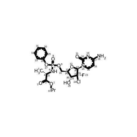 CC(C)OC(=O)[C@H](C)NP(=O)(OC[C@H]1O[C@@H](n2ccc(N)nc2=O)[C@@](F)(Cl)[C@@H]1O)Oc1ccccc1